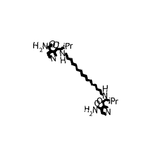 CC(C)C(NCCCCCCCCCCCCCCCCNC(C(=O)c1cnccc1C(N)=O)C(C)C)C(=O)c1cnccc1C(N)=O